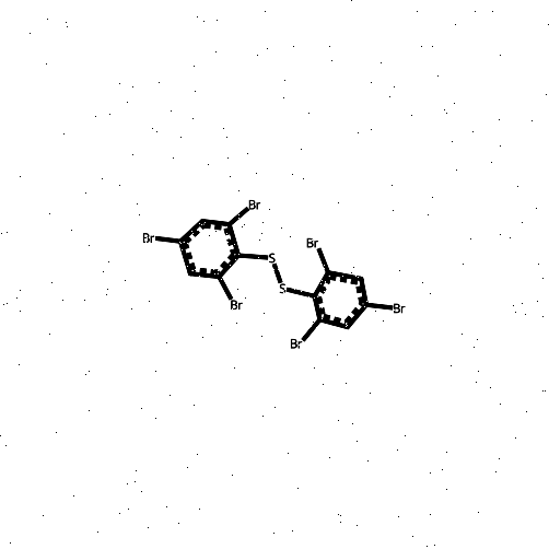 Brc1cc(Br)c(SSc2c(Br)cc(Br)cc2Br)c(Br)c1